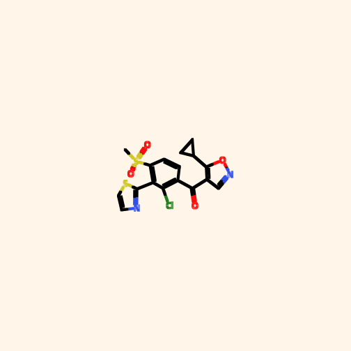 CS(=O)(=O)c1ccc(C(=O)c2cnoc2C2CC2)c(Cl)c1-c1nccs1